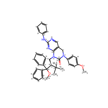 COc1ccc(N2Cc3cnc(Nc4ccccc4)nc3N(C[C@@H](C(C)(C)C)C(O[SiH3])(c3ccccc3)c3ccccc3)C2=O)cc1